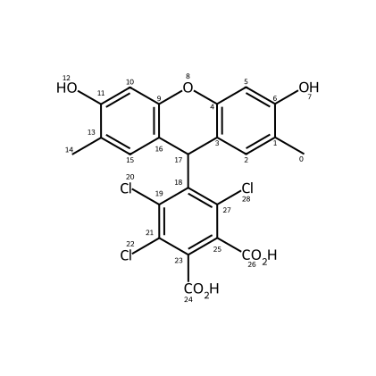 Cc1cc2c(cc1O)Oc1cc(O)c(C)cc1C2c1c(Cl)c(Cl)c(C(=O)O)c(C(=O)O)c1Cl